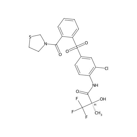 C[C@@](O)(C(=O)Nc1ccc(S(=O)(=O)c2ccccc2C(=O)N2CCSC2)cc1Cl)C(F)(F)F